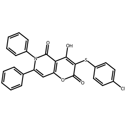 O=c1oc2cc(-c3ccccc3)n(-c3ccccc3)c(=O)c2c(O)c1Sc1ccc(Cl)cc1